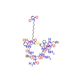 CC[C@H](C)C1NC(=O)[C@H](Cc2ccc(O)cc2)NC(=O)[C@@H](NC(=O)CCCCCCCCCCN2C(=O)C=CC2=O)CSSC[C@@H](C(=O)N2CCCC2C(=O)N[C@@H](CC(C)C)C(=O)NCC(N)=O)NC(=O)[C@H](CC(N)=O)NC(=O)[C@H](CCC(N)=O)NC1=O